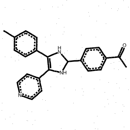 CC(=O)c1ccc(C2NC(c3ccncc3)=C(c3ccc(C)cc3)N2)cc1